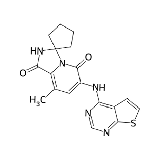 Cc1cc(Nc2ncnc3sccc23)c(=O)n2c1C(=O)NC21CCCC1